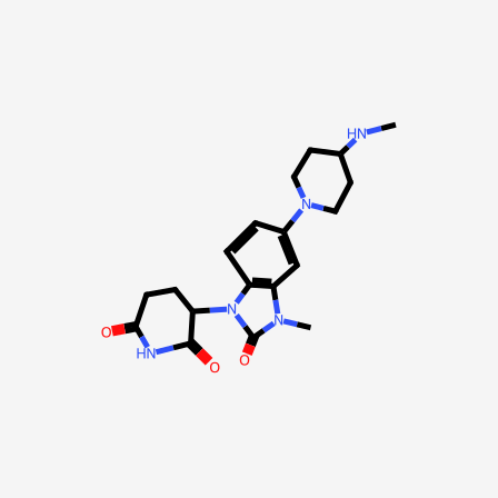 CNC1CCN(c2ccc3c(c2)n(C)c(=O)n3C2CCC(=O)NC2=O)CC1